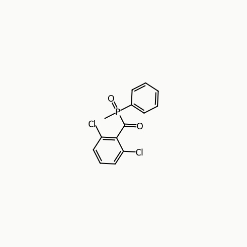 CP(=O)(C(=O)c1c(Cl)cccc1Cl)c1ccccc1